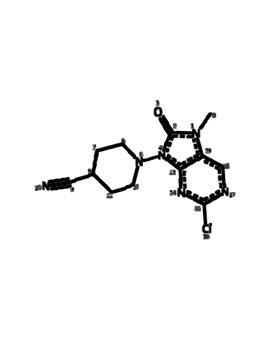 Cn1c(=O)n(N2CCC(C#N)CC2)c2nc(Cl)ncc21